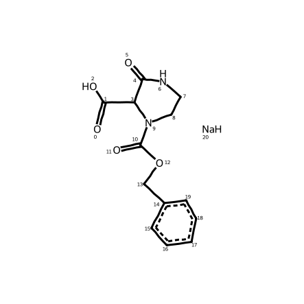 O=C(O)C1C(=O)NCCN1C(=O)OCc1ccccc1.[NaH]